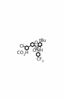 CC(C)(C)c1ccccc1Oc1ccc(-c2cc(Cl)cc(C(=O)O)c2)cc1NC(=O)Nc1ccc(C(F)(F)F)cc1